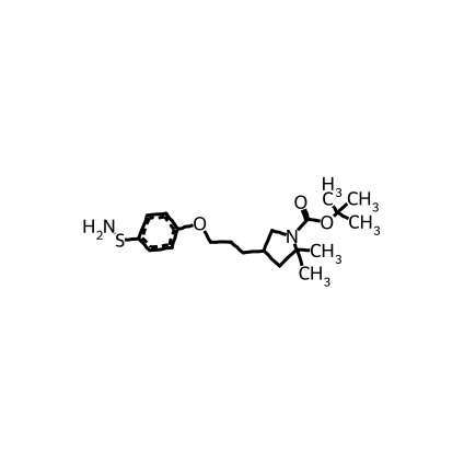 CC(C)(C)OC(=O)N1CC(CCCOc2ccc(SN)cc2)CC1(C)C